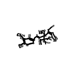 CCC(=O)C(O)(/C=C/c1ccc(Cl)c(Cl)c1)C(F)(F)F